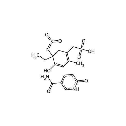 CCC1(N=S(=O)=O)CC(CS(=O)(=O)O)=C(C)C=C1O.NC(=O)c1ccc(=O)[nH]c1